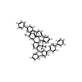 Fc1cc(F)cc(-c2ccc(-n3c4ccccc4c4ccc(-c5ccc(-c6ccccc6)nc5)cc43)c(C(F)(F)F)c2-n2c3ccccc3c3ccc(-c4ccc(-c5ccccc5)nc4)cc32)c1